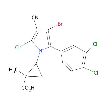 CC1(C(=O)O)CC1n1c(Cl)c(C#N)c(Br)c1-c1ccc(Cl)c(Cl)c1